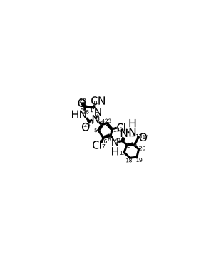 N#Cc1nn(-c2cc(Cl)c(Nc3n[nH]c(=O)c4c3CCCC4)c(Cl)c2)c(=O)[nH]c1=O